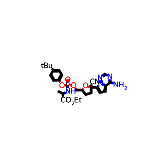 CCOC(=O)C(C)NP(=O)(OCC1CCC(C#N)(c2ccc3c(N)ncnn23)O1)Oc1ccc(C(C)(C)C)cc1